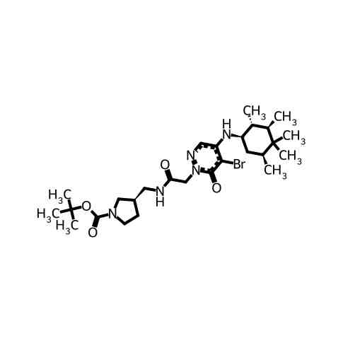 C[C@@H]1[C@@H](C)C(C)(C)[C@@H](C)C[C@H]1Nc1cnn(CC(=O)NC[C@H]2CCN(C(=O)OC(C)(C)C)C2)c(=O)c1Br